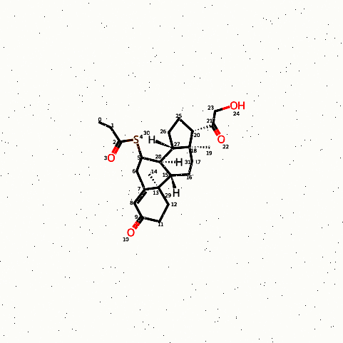 CCC(=O)SC1CC2=CC(=O)CC[C@]2(C)[C@H]2CC[C@]3(C)[C@@H](C(=O)CO)CC[C@H]3[C@H]12